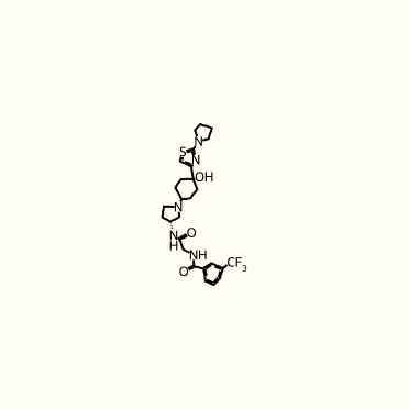 O=C(CNC(=O)c1cccc(C(F)(F)F)c1)N[C@@H]1CCN(C2CCC(O)(c3csc(N4CCCC4)n3)CC2)C1